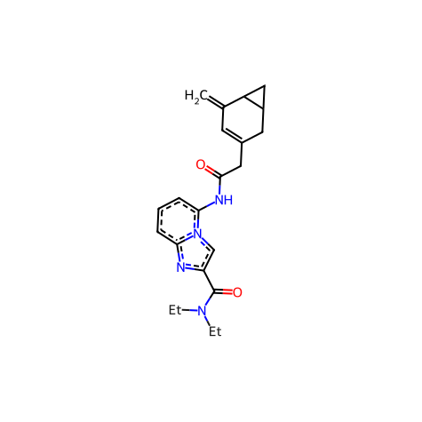 C=C1C=C(CC(=O)Nc2cccc3nc(C(=O)N(CC)CC)cn23)CC2CC12